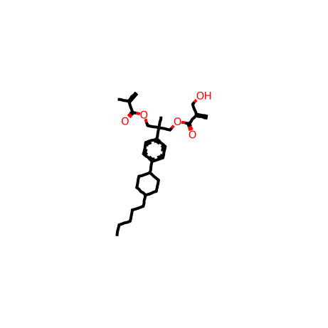 C=C(C)C(=O)OCC(C)(COC(=O)C(=C)CO)c1ccc(C2CCC(CCCCC)CC2)cc1